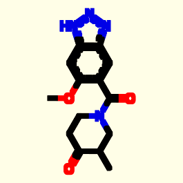 COc1cc2[nH]nnc2cc1C(=O)N1CCC(=O)C(C)C1